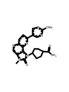 COc1ncc(-c2ccc3ncc4c(c3n2)n(C2CCC(C(N)=O)CC2)c(=O)n4C)cn1